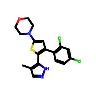 Cc1cn[nH]c1-c1sc(N2CCOCC2)cc1-c1ccc(Cl)cc1Cl